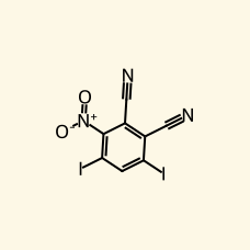 N#Cc1c(I)cc(I)c([N+](=O)[O-])c1C#N